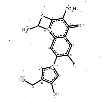 CC1Sc2c(C(=O)O)c(=O)c3cc(F)c(-n4cc(O)c(CO)c4)cc3n21